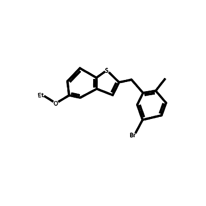 CCOc1ccc2sc(Cc3cc(Br)ccc3C)cc2c1